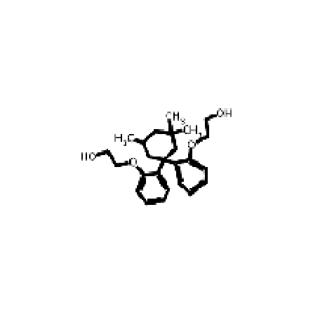 CC1CC(C)(C)CC(c2ccccc2OCCO)(c2ccccc2OCCO)C1